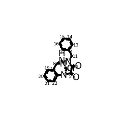 O=C1C(=O)N2C(Cl)=NC(NN1Cc1ccccc1)c1ccccc12